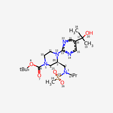 CC(C)N(C[C@H]1CN(C(=O)OC(C)(C)C)CCN1c1ncc(C(C)(C)O)cn1)S(C)(=O)=O